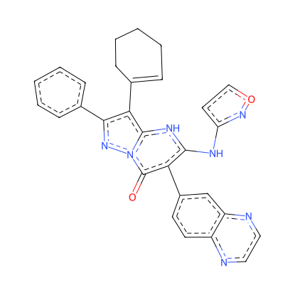 O=c1c(-c2ccc3nccnc3c2)c(Nc2ccon2)[nH]c2c(C3=CCCCC3)c(-c3ccccc3)nn12